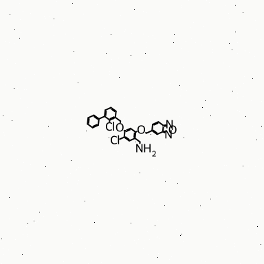 NCc1cc(Cl)c(OCc2cccc(-c3ccccc3)c2Cl)cc1OCc1ccc2nonc2c1